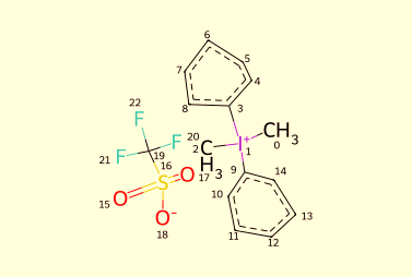 C[I+](C)(c1ccccc1)c1ccccc1.O=S(=O)([O-])C(F)(F)F